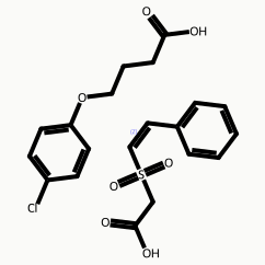 O=C(O)CCCOc1ccc(Cl)cc1.O=C(O)CS(=O)(=O)/C=C\c1ccccc1